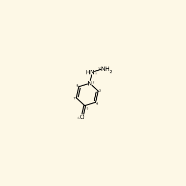 NNn1ccc(=O)cc1